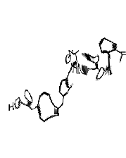 Cc1noc(-c2ccc(Cc3ccc(CC(=O)O)cc3)cc2)c1NC(=O)O[C@H](C)c1ccccc1F